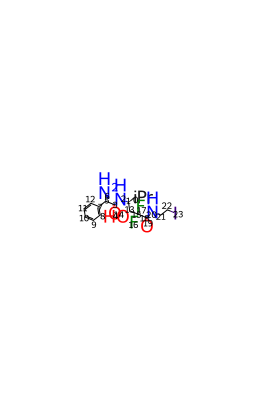 CC(C)[C@H](NC(=O)[C@@H](N)c1ccccc1)[C@@H](O)C(F)(F)C(=O)NCCI